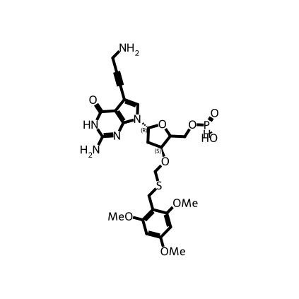 COc1cc(OC)c(CSCO[C@H]2C[C@H](n3cc(C#CCN)c4c(=O)[nH]c(N)nc43)OC2CO[PH](=O)O)c(OC)c1